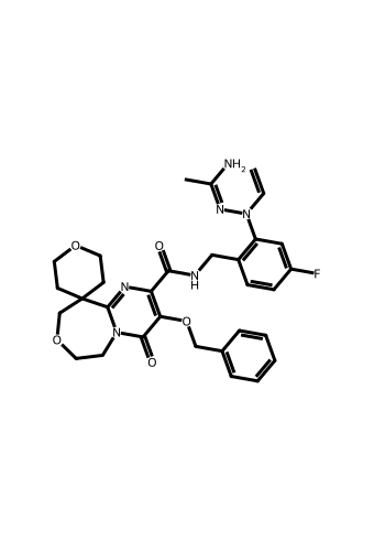 C=CN(/N=C(/C)N)c1cc(F)ccc1CNC(=O)c1nc2n(c(=O)c1OCc1ccccc1)CCOCC21CCOCC1